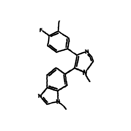 Cc1cc(-c2ncn(C)c2-c2ccc3ncn(C)c3c2)ccc1F